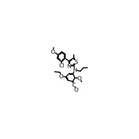 CCCN(C1=CC(OCC)=CC(=C=O)C1OC)c1nc(-c2ccc(OC)cc2Cl)c(C)s1